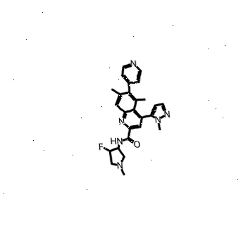 Cc1cc2nc(C(=O)NC3CN(C)CC3F)cc(-c3ccnn3C)c2c(C)c1-c1ccncc1